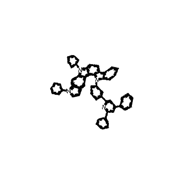 c1ccc(-c2cc(-c3ccccc3)nc(-c3cccc(-n4c5ccccc5c5ccc6c(c7cc8ccn(-c9ccccc9)c8cc7n6-c6ccccc6)c54)c3)c2)cc1